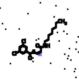 CCCCCCCCNC(=O)/C=C\SC(=O)c1cc(Cl)cc(Cl)c1